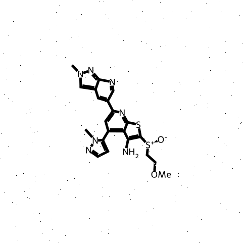 COCC[S@+]([O-])c1sc2nc(-c3cnc4nn(C)cc4c3)cc(-c3ccnn3C)c2c1N